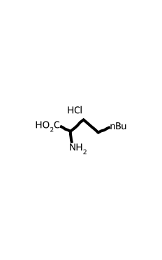 CCCCCCC(N)C(=O)O.Cl